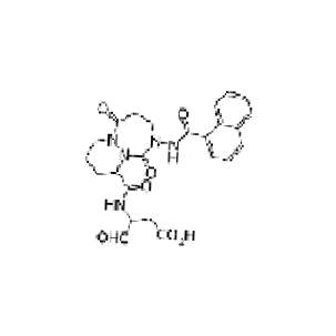 O=CC(CC(=O)O)NC(=O)C1CCCN2C(=O)CCN(NC(=O)c3cccc4ccccc34)C(=O)N12